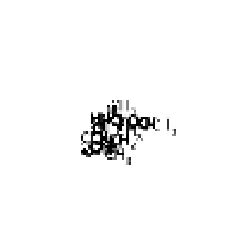 COc1cc(N2CCC3(CCN(C)CC3)CC2)c(C)cc1Nc1ncc(Cl)c(Nc2cc3c(cc2N(C)S(C)(=O)=O)CCO3)n1